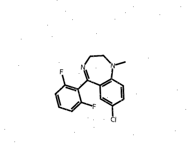 CN1CCN=C(c2c(F)cccc2F)c2cc(Cl)ccc21